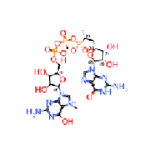 C[C@H](C[C@H]1O[C@@H](n2cnc3c(=O)[nH]c(N)nc32)[C@@H](O)[C@H]1O)P(=O)(O)OP(C)(=O)OP(=O)(O)OC[C@H]1O[C@@H](n2c[n+](C)c3c(O)nc(N)nc32)C(O)C1O